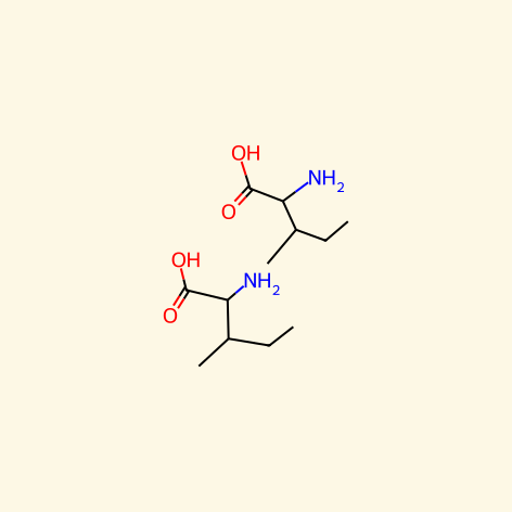 CCC(C)C(N)C(=O)O.CCC(C)C(N)C(=O)O